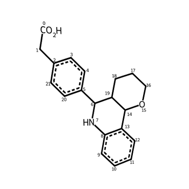 O=C(O)Cc1ccc(C2Nc3ccccc3C3OCCCC23)cc1